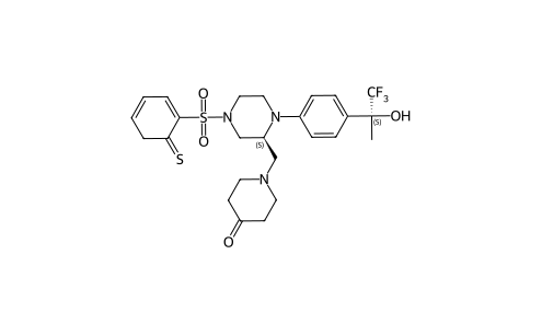 C[C@](O)(c1ccc(N2CCN(S(=O)(=O)C3=CC=CCC3=S)C[C@@H]2CN2CCC(=O)CC2)cc1)C(F)(F)F